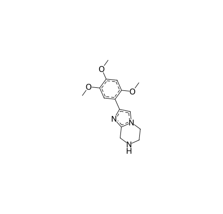 COc1cc(OC)c(-c2cn3c(n2)CNCC3)cc1OC